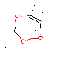 C1=COOCO1